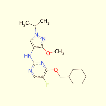 COc1nn(C(C)C)cc1Nc1ncc(F)c(OCC2CCCCC2)n1